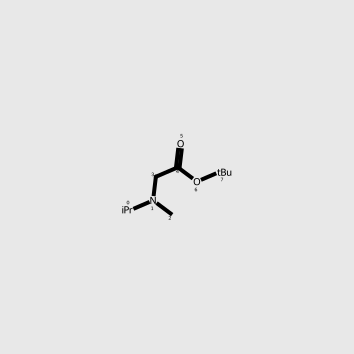 CC(C)N(C)CC(=O)OC(C)(C)C